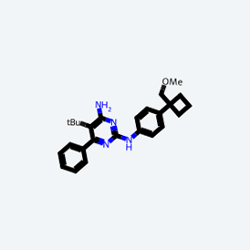 COCC1(c2ccc(Nc3nc(N)c(C(C)(C)C)c(-c4ccccc4)n3)cc2)CCC1